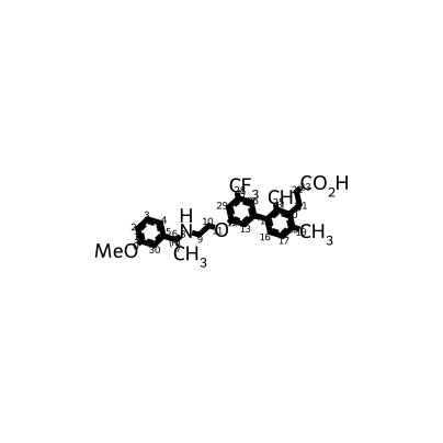 COc1cccc([C@@H](C)NCCOc2cc(-c3ccc(C)c(CCC(=O)O)c3C)cc(C(F)(F)F)c2)c1